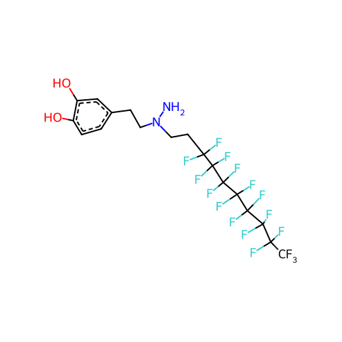 NN(CCc1ccc(O)c(O)c1)CCC(F)(F)C(F)(F)C(F)(F)C(F)(F)C(F)(F)C(F)(F)C(F)(F)C(F)(F)F